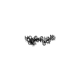 O=C(CNC(=O)c1cccc(Nc2ccccn2)c1)NCC(NC(=O)[C@@H]1CCCN1S(=O)(=O)c1ccccc1)C(=O)O